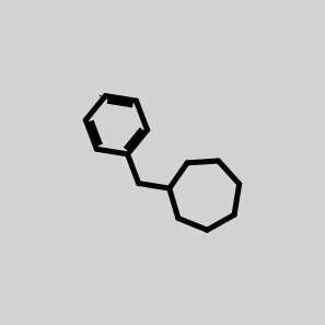 [c]1ccc(CC2CCCCCC2)cc1